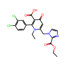 CCOC(=O)c1nccn1Cc1cc(=O)c(C(=O)O)c(-c2ccc(Cl)c(Cl)c2)n1CC